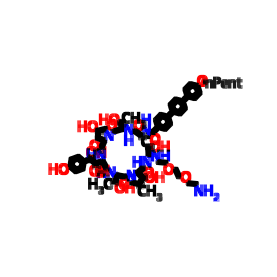 CCCCCOc1ccc(-c2ccc(-c3ccc(C(=O)N[C@H]4C[C@@H](O)C(NCCOCCOCCN)NC(=O)C5[C@@H](O)[C@@H](C)CN5C(=O)C([C@@H](C)O)NC(=O)C([C@H](O)[C@@H](O)c5ccc(O)cc5)NC(=O)C5C[C@@H](O)CN5C(=O)C([C@@H](C)O)NC4=O)cc3)cc2)cc1